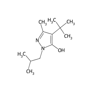 Cc1nn(CC(C)C)c(O)c1C(C)(C)C